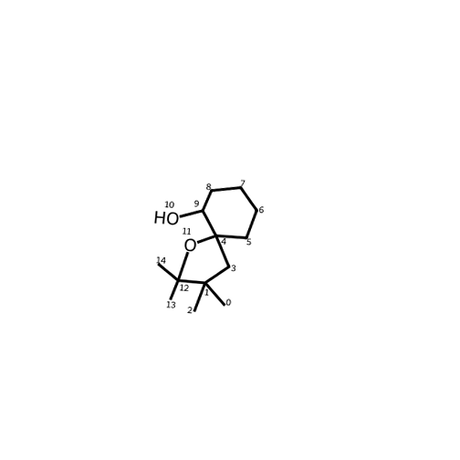 CC1(C)CC2(CCCCC2O)OC1(C)C